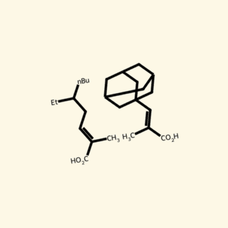 CC(=CC12CC3CC(CC(C3)C1)C2)C(=O)O.CCCCC(CC)CC=C(C)C(=O)O